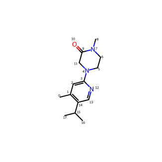 Cc1cc(N2CCN(C)C(=O)C2)ncc1C(C)C